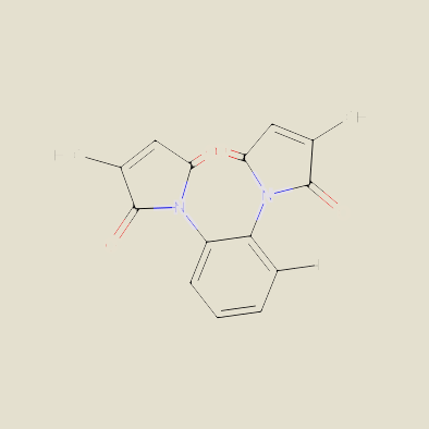 CCc1cccc(N2C(=O)C=C(C)C2=O)c1N1C(=O)C=C(C)C1=O